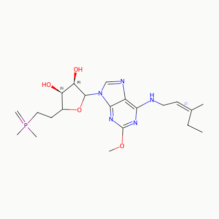 C=P(C)(C)CCC1OC(n2cnc3c(NC/C=C(/C)CC)nc(OC)nc32)[C@H](O)[C@@H]1O